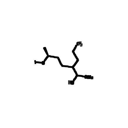 COC(O)C(CC[C@H](C)OI)CCC(F)(F)F